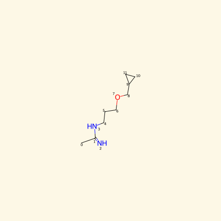 CC(=N)NCCCOCC1CC1